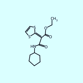 CCOC(=O)C(C(=O)NC1CCCCC1)=C1SC=CS1